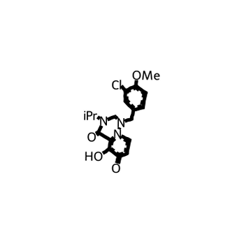 COc1ccc(CN2CN(C(C)C)C(=O)c3c(O)c(=O)ccn32)cc1Cl